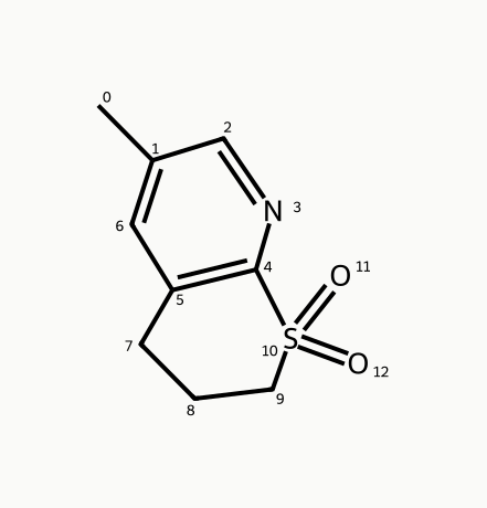 Cc1cnc2c(c1)CCCS2(=O)=O